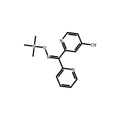 C[Si](C)(C)ON=C(c1ccccn1)c1cc(C#N)ccn1